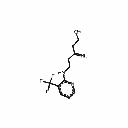 CCCC(=N)CCNc1ncccc1C(F)(F)F